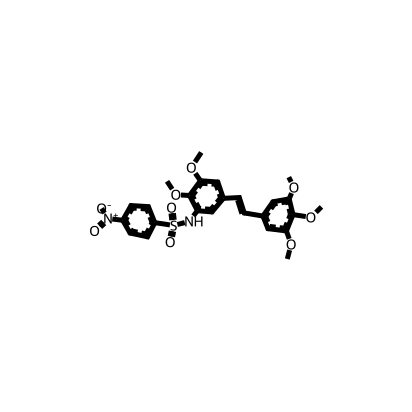 COc1cc(C=Cc2cc(OC)c(OC)c(OC)c2)cc(NS(=O)(=O)c2ccc([N+](=O)[O-])cc2)c1OC